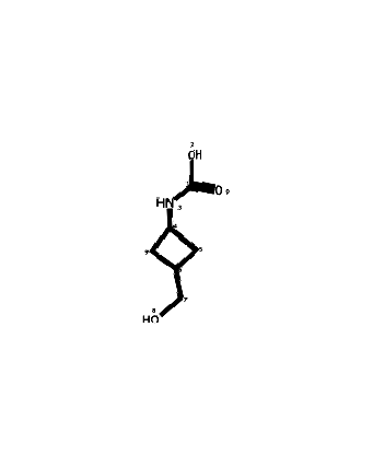 O=C(O)NC1CC(CO)C1